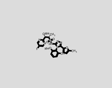 COc1cccc(OC)c1-n1c(NS(=O)(=O)[C@@H](C)[C@@H](OC)c2ncc(F)cn2)nnc1-c1ccc(C)o1